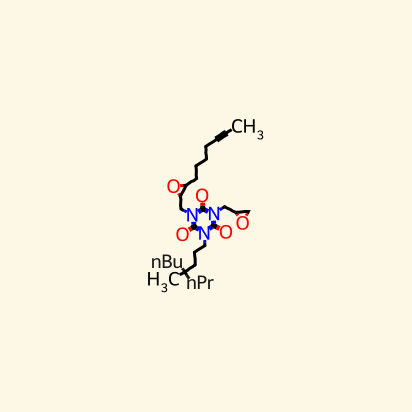 CC#CCCCCC1OC1Cn1c(=O)n(CCCC(C)(CCC)CCCC)c(=O)n(CC2CO2)c1=O